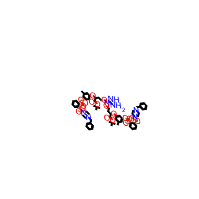 Cc1cc(OC(CCON(OCCC(Oc2cc(C)cc(OS(=O)(=O)c3ccccc3S(=O)(=O)N3CCN(Cc4ccccc4)CC3)c2)C(=O)OC(C)(C)C)C(=N)N)C(=O)OC(C)(C)C)cc(OS(=O)(=O)c2ccccc2S(=O)(=O)N2CCN(Cc3ccccc3)CC2)c1